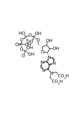 O=C(O)CN(CC(=O)O)c1ncnc2c1ncn2[C@@H]1O[C@H](COP(=O)(O)OP(=O)(O)OP(=O)(O)OP(=O)(O)O)C(O)C1O